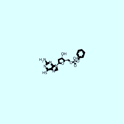 CC(=O)OP(=O)(OC[C@H]1O[C@@H](n2cnc3c(S)nc(N)nc32)C[C@@H]1O)Oc1ccccc1